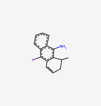 CC1CC=Cc2c1c(N)c1ccccc1c2I